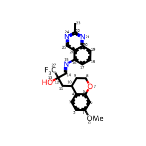 COc1ccc2c(c1)OCCC2CC(O)(/C=N/c1cccc2nc(C)ncc12)C(F)(F)F